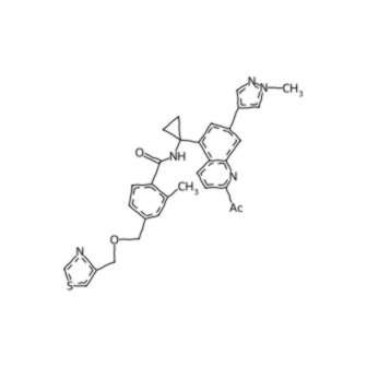 CC(=O)c1ccc2c(C3(NC(=O)c4ccc(COCc5cscn5)cc4C)CC3)cc(-c3cnn(C)c3)cc2n1